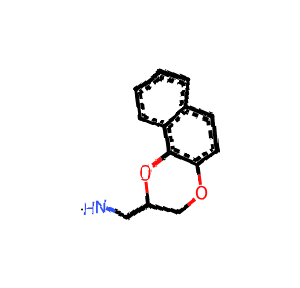 [NH]CC1COc2ccc3ccccc3c2O1